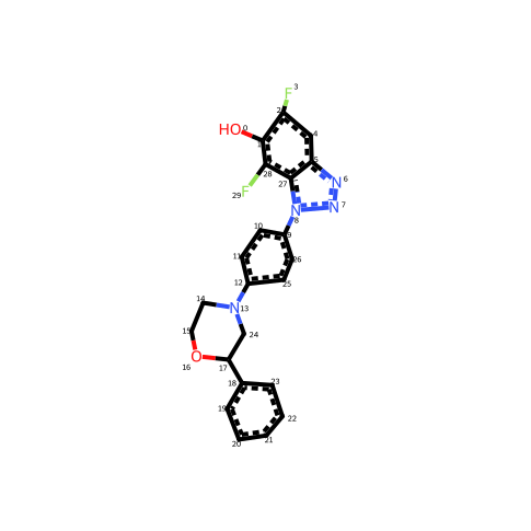 Oc1c(F)cc2nnn(-c3ccc(N4CCOC(c5ccccc5)C4)cc3)c2c1F